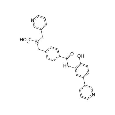 O=C(Nc1cc(-c2cccnc2)ccc1O)c1ccc(CN(Cc2cccnc2)C(=O)O)cc1